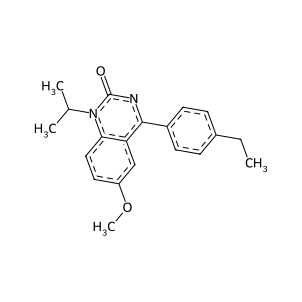 CCc1ccc(-c2nc(=O)n(C(C)C)c3ccc(OC)cc23)cc1